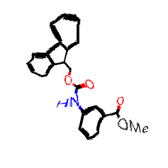 COC(=O)c1cccc(NC(=O)OCC2c3ccccc3-c3ccccc32)c1